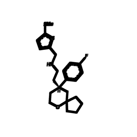 CSc1ccc(CNCC[C@@]2(c3ccc(F)cc3)CCOC3(CCCC3)C2)s1